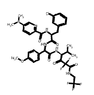 COc1ccc(C(NC(=O)C(Cc2cccc(Cl)c2)NC(=O)c2ccc(N(C)C)cn2)C(=O)N[C@H](C(=O)C(F)(F)C(=O)NCC(F)(F)F)C(C)C)cc1